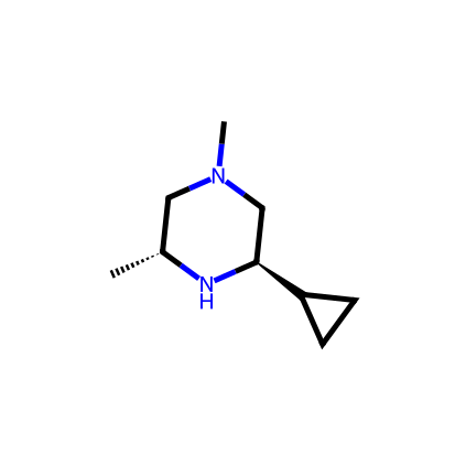 C[C@@H]1CN(C)C[C@@H](C2CC2)N1